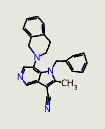 Cc1c(C#N)c2cncc(N3CCc4ccccc4C3)c2n1Cc1ccccc1